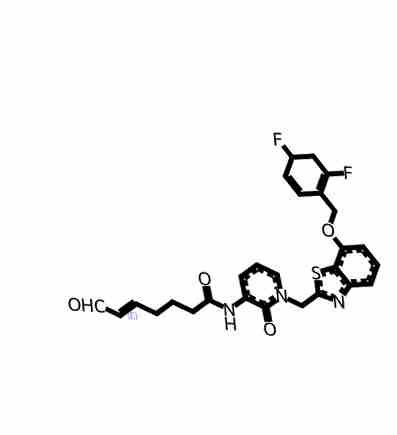 O=C/C=C/CCCC(=O)Nc1cccn(Cc2nc3cccc(OCC4=C(F)CC(F)C=C4)c3s2)c1=O